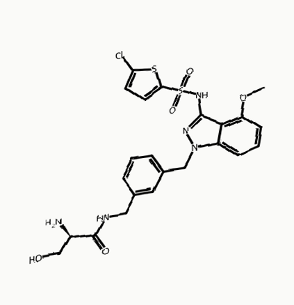 COc1cccc2c1c(NS(=O)(=O)c1ccc(Cl)s1)nn2Cc1cccc(CNC(=O)[C@H](N)CO)c1